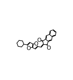 O=C1C(=Cc2cc3oc(C4CCCCC4)cc3o2)C(=O)c2cc3ccccc3cc21